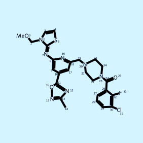 COCn1ccs/c1=N\c1cc(-c2nc(C)no2)cc(CN2CCN(C(=O)c3cccc(Cl)c3F)CC2)n1